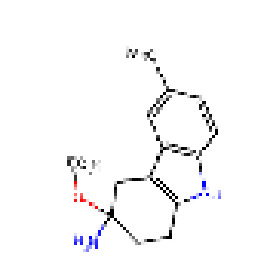 COc1ccc2[nH]c3c(c2c1)CC(N)(OC(=O)O)CC3